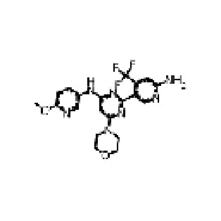 COc1ccc(Nc2cc(N3CCOCC3)nc(-c3cnc(N)cc3C(F)(F)F)n2)cn1